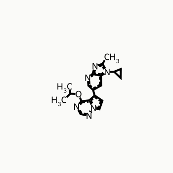 Cc1nc2ncc(-c3ccn4ncnc(OC(C)C)c34)cc2n1C1CC1